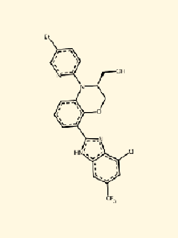 CCc1ccc(N2c3cccc(-c4nc5c(Cl)cc(C(F)(F)F)cc5[nH]4)c3OC[C@@H]2CO)nc1